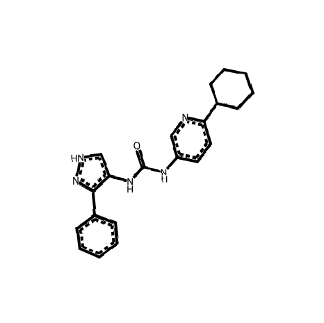 O=C(Nc1ccc(C2CCCCC2)nc1)Nc1c[nH]nc1-c1ccccc1